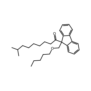 CCCCCOCC1(C(=O)CCCCCCC(C)C)c2ccccc2-c2ccccc21